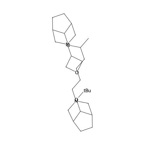 CC(CCCCN1CC2CCC(C1)C2OC(C)(C)C)OC1C2CCC1CN(C1COC1)C2